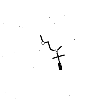 C#CC(C)(C)N(C)CCOC